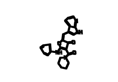 O=C1C(=Cc2c[nH]c3ncccc23)OC(Nc2ccccc2)=C1C(=O)N1CCCCC1